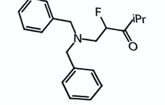 CC(C)C(=O)C(F)CN(Cc1ccccc1)Cc1ccccc1